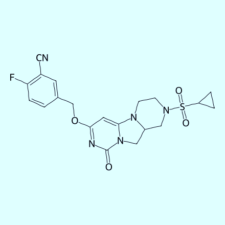 N#Cc1cc(COc2cc3n(c(=O)n2)CC2CN(S(=O)(=O)C4CC4)CCN32)ccc1F